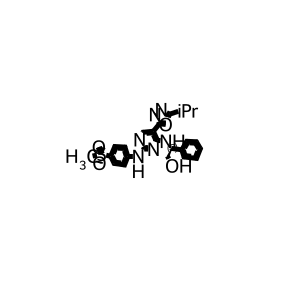 CC(C)c1nnc(-c2cnc(Nc3ccc(S(C)(=O)=O)cc3)nc2N[C@H](CO)c2ccccc2)o1